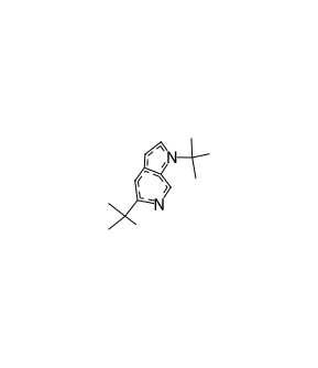 CC(C)(C)c1cc2ccn(C(C)(C)C)c2cn1